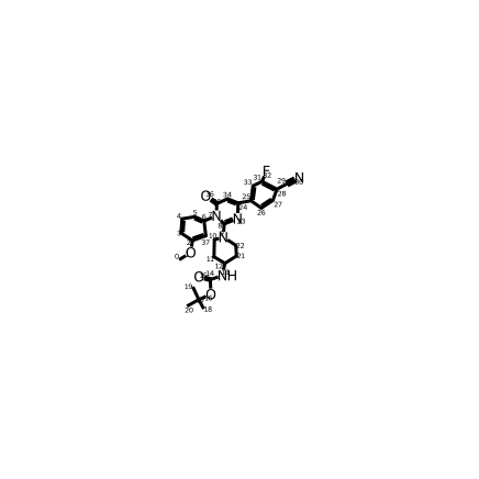 COc1cccc(-n2c(N3CCC(NC(=O)OC(C)(C)C)CC3)nc(-c3ccc(C#N)c(F)c3)cc2=O)c1